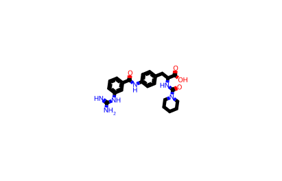 N=C(N)Nc1cccc(C(=O)Nc2ccc(CC(NC(=O)N3CCCCC3)C(=O)O)cc2)c1